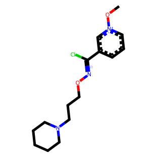 CO[n+]1cccc(/C(Cl)=N/OCCCN2CCCCC2)c1